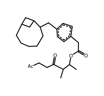 CC(=O)CCC(=O)C(C)C(C)OC(=O)Cc1ccc(CC2CCCCCC3CC2C3)cc1